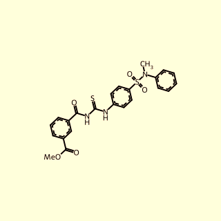 COC(=O)c1cccc(C(=O)NC(=S)Nc2ccc(S(=O)(=O)N(C)c3ccccc3)cc2)c1